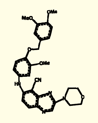 COc1ccc(COc2ccc(Nc3ccc4ncc(N5CCOCC5)nc4c3C#N)cc2OC)cc1OC